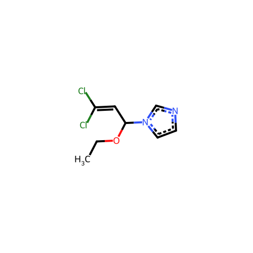 CCOC(C=C(Cl)Cl)n1ccnc1